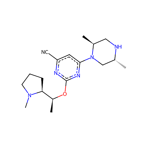 C[C@@H]1CN(c2cc(C#N)nc(O[C@@H](C)[C@@H]3CCCN3C)n2)[C@@H](C)CN1